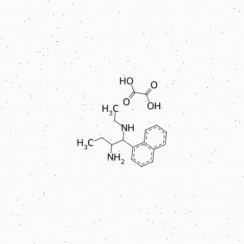 CCNC(c1cccc2ccccc12)C(N)CC.O=C(O)C(=O)O